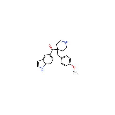 COc1ccc(CC2(C(=O)c3ccc4[nH]ccc4c3)CCNCC2)cc1